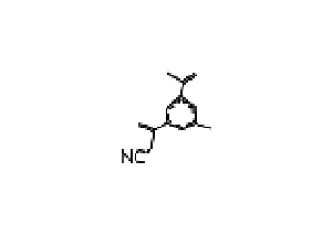 C=C(C)c1cc(C)cc(C(=C)CC#N)c1